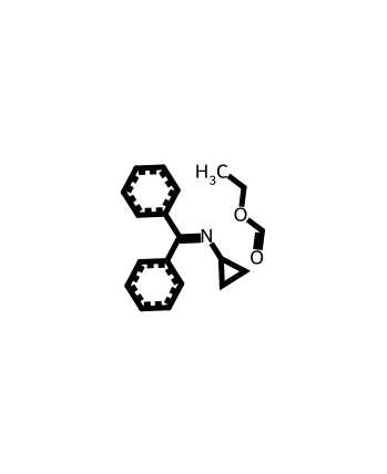 CCOC=O.c1ccc(C(=NC2CC2)c2ccccc2)cc1